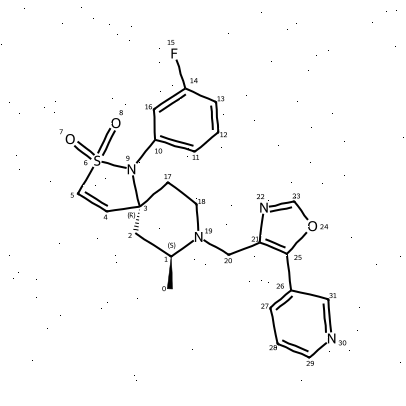 C[C@H]1C[C@@]2(C=CS(=O)(=O)N2c2cccc(F)c2)CCN1Cc1ncoc1-c1cccnc1